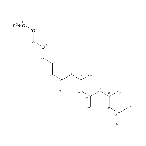 CCCCCOCOCCCC(C)CC(C)CC(C)CC(C)CC(C)I